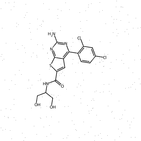 Nc1nc(-c2ccc(Cl)cc2Cl)c2cc(C(=O)NC(CO)CO)sc2n1